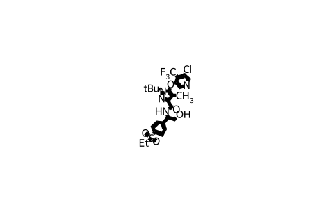 CCS(=O)(=O)c1ccc(C(CO)NC(=O)c2nn(C(C)(C)C)c(Oc3cncc(Cl)c3C(F)(F)F)c2C)cc1